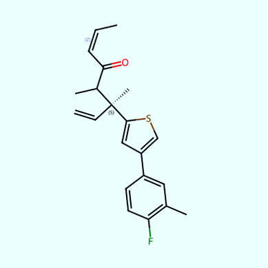 C=C[C@](C)(c1cc(-c2ccc(F)c(C)c2)cs1)C(C)C(=O)/C=C\C